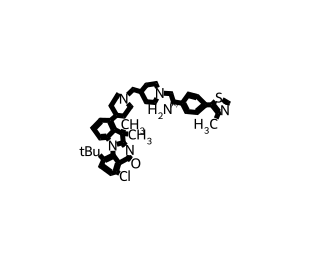 Cc1ncsc1-c1ccc([C@@H](N)CN2CCC(CN3CCC(c4cccc5c4C(C)(C)c4nc(=O)c6c(Cl)ccc(C(C)(C)C)c6n4-5)CC3)CC2)cc1